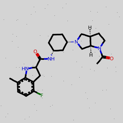 CC(=O)N1CC[C@@H]2CN([C@H]3CCC[C@@H](NC(=O)C4Cc5c(F)ccc(C)c5N4)C3)C[C@@H]21